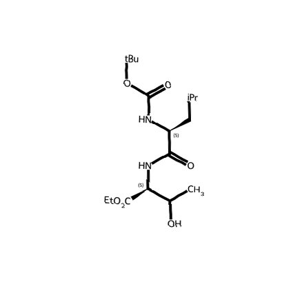 CCOC(=O)[C@@H](NC(=O)[C@H](CC(C)C)NC(=O)OC(C)(C)C)C(C)O